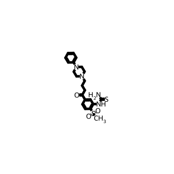 CS(=O)(=O)c1ccc(C(=O)CCCN2CCN(c3ccccc3)CC2)cc1NC(N)=S